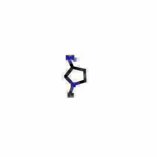 CCN1CCC(N)C1